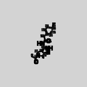 CC(=O)N1Cc2n[nH]c(NC(=O)Cc3ccc(F)cc3)c2C1